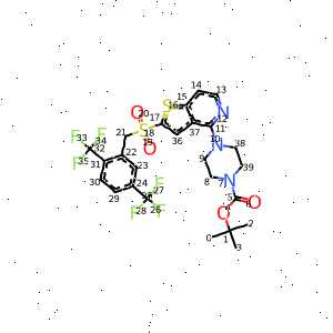 CC(C)(C)OC(=O)N1CCN(c2nccc3sc(S(=O)(=O)Cc4cc(C(F)(F)F)ccc4C(F)(F)F)cc23)CC1